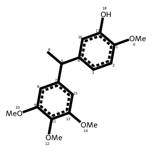 COc1ccc(C(C)c2cc(OC)c(OC)c(OC)c2)cc1O